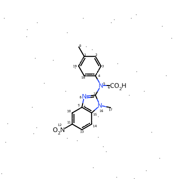 Cc1ccc(N(C(=O)O)c2nc3cc([N+](=O)[O-])ccc3n2C)cc1